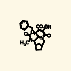 CCOC(=O)c1nc2n(c(=O)c1O)CC1CCC(C1)C2N(C)C(=O)OCc1ccccc1